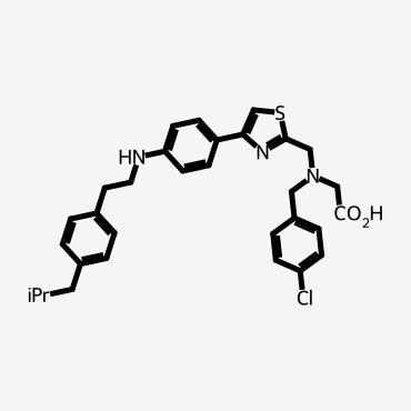 CC(C)Cc1ccc(CCNc2ccc(-c3csc(CN(CC(=O)O)Cc4ccc(Cl)cc4)n3)cc2)cc1